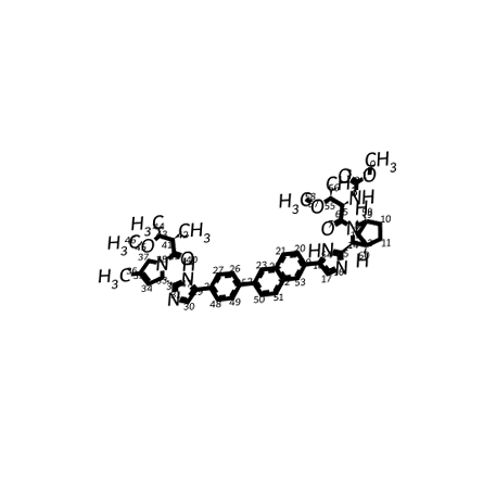 COC(=O)N[C@H](C(=O)N1[C@H]2CC[C@H](C2)[C@H]1c1ncc(-c2ccc3cc(-c4ccc(-c5cnc([C@@H]6C=C(C)CN6C(=O)[C@@H](C)[C@@H](C)OC)[nH]5)cc4)ccc3c2)[nH]1)[C@@H](C)OC